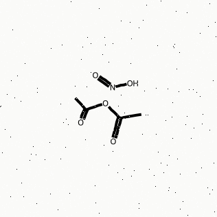 CC(=O)OC(C)=O.O=NO